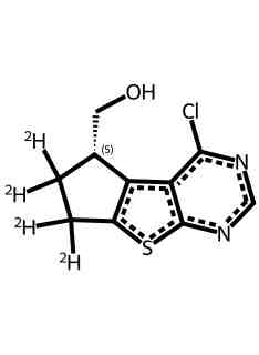 [2H]C1([2H])c2sc3ncnc(Cl)c3c2[C@@H](CO)C1([2H])[2H]